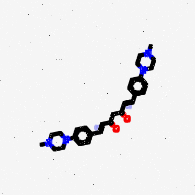 CN1CCN(c2ccc(/C=C/C(=O)CC(=O)/C=C/c3ccc(N4CCN(C)CC4)cc3)cc2)CC1